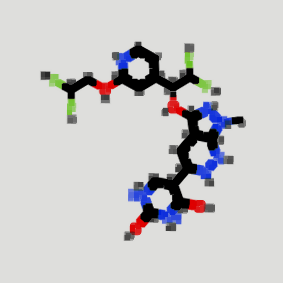 Cn1nc(O[C@H](c2ccnc(OCC(F)F)c2)C(F)F)c2cc(-c3c[nH]c(=O)[nH]c3=O)nnc21